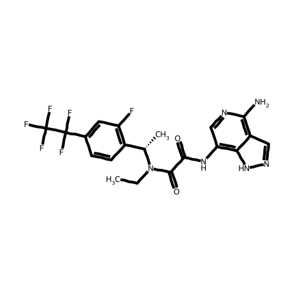 CCN(C(=O)C(=O)Nc1cnc(N)c2cn[nH]c12)[C@@H](C)c1ccc(C(F)(F)C(F)(F)F)cc1F